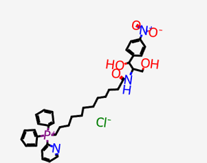 O=C(CCCCCCCCCCC[P+](c1ccccc1)(c1ccccc1)c1ccccn1)NC(CO)C(O)c1ccc([N+](=O)[O-])cc1.[Cl-]